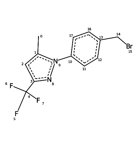 Cc1cc(C(F)(F)F)nn1-c1ccc(CBr)cc1